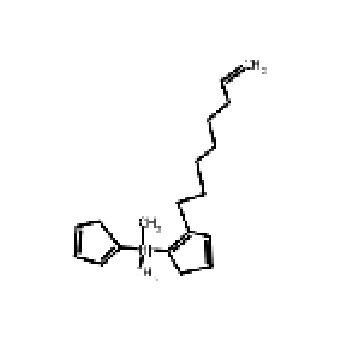 C=CCCCCCCC1=[C]([Hf]([CH3])([CH3])[C]2=CC=CC2)CC=C1